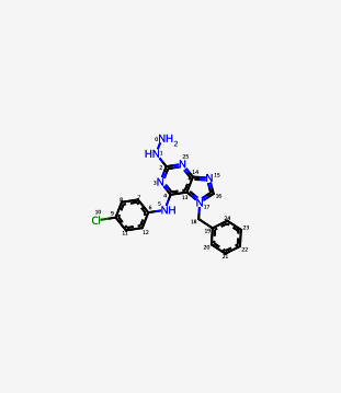 NNc1nc(Nc2ccc(Cl)cc2)c2c(ncn2Cc2ccccc2)n1